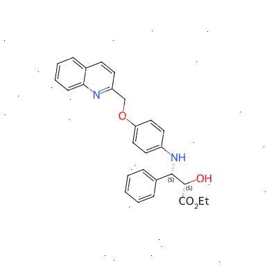 CCOC(=O)[C@@H](O)[C@@H](Nc1ccc(OCc2ccc3ccccc3n2)cc1)c1ccccc1